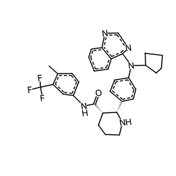 Cc1ccc(NC(=O)[C@H]2CCCN[C@H]2c2ccc(N(c3ncnc4ccccc34)C3CCCC3)cc2)cc1C(F)(F)F